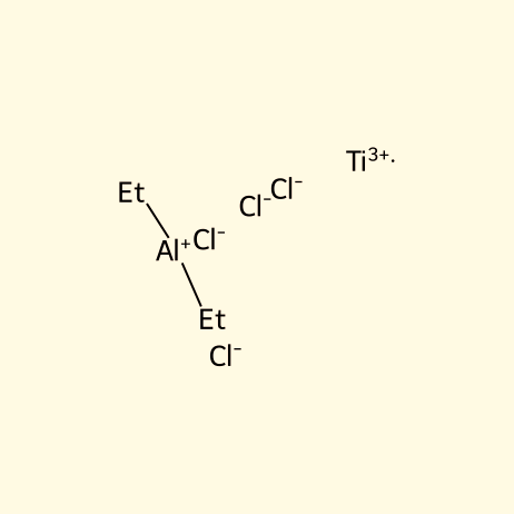 C[CH2][Al+][CH2]C.[Cl-].[Cl-].[Cl-].[Cl-].[Ti+3]